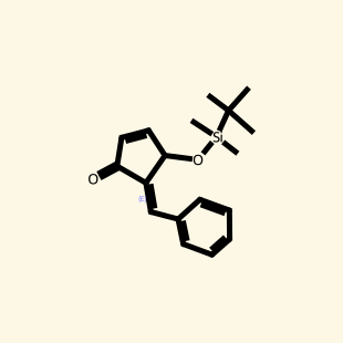 CC(C)(C)[Si](C)(C)OC1C=CC(=O)/C1=C/c1ccccc1